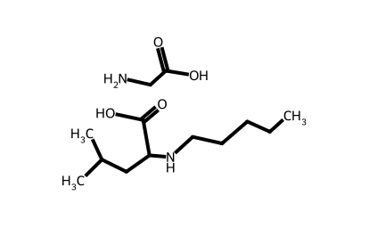 CCCCCNC(CC(C)C)C(=O)O.NCC(=O)O